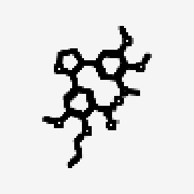 CCCOc1c(OC)cc(C2OCCC2c2cc(OC)c(OC)c(OC)c2)cc1[N+](=O)[O-]